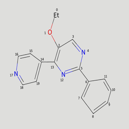 CCOc1cnc(-c2cc[c]cc2)nc1-c1ccncc1